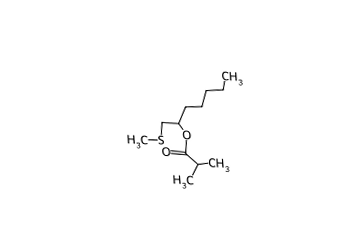 CCCCCC(CSC)OC(=O)C(C)C